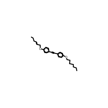 CCCC=CCOc1ccc(C#Cc2ccc(OCCCCCCC)cc2)cc1